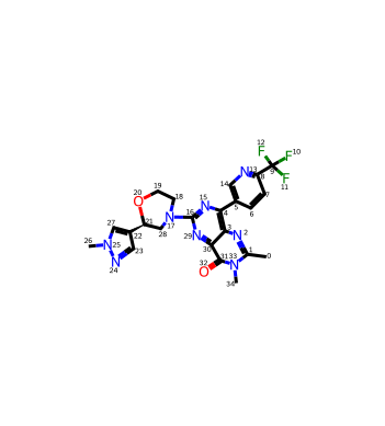 Cc1nc2c(-c3ccc(C(F)(F)F)nc3)nc(N3CCO[C@H](c4cnn(C)c4)C3)nc2c(=O)n1C